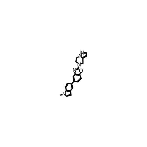 Cn1ccc2cc(-c3ccc4oc(N5CCn6nccc6C5)nc4c3)ccc21